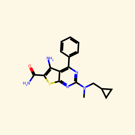 CN(CC1CC1)c1nc(-c2ccccc2)c2c(N)c(C(N)=O)sc2n1